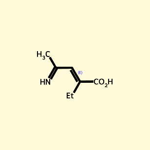 CC/C(=C\C(C)=N)C(=O)O